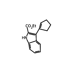 CCOC(=O)c1[nH]c2ccccc2c1C1=CCCC1